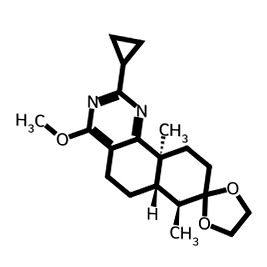 COc1nc(C2CC2)nc2c1CC[C@H]1[C@H](C)C3(CC[C@]21C)OCCO3